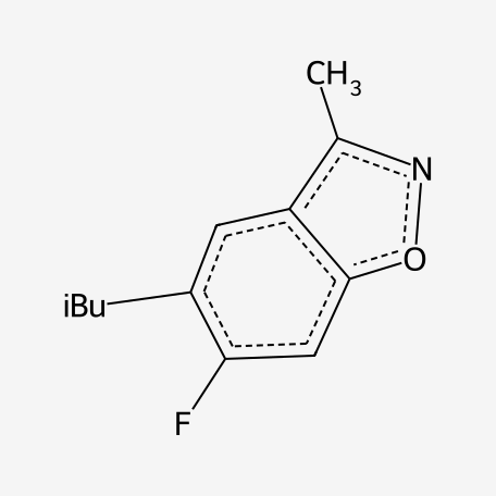 CCC(C)c1cc2c(C)noc2cc1F